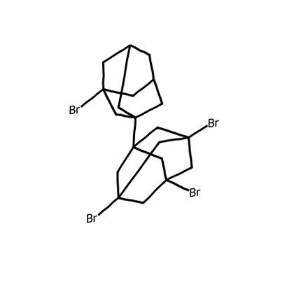 BrC12CC3CC(C1)CC(C14CC5(Br)CC(Br)(CC(Br)(C5)C1)C4)(C3)C2